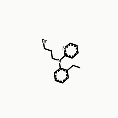 CCc1ccccc1N(CCCBr)c1ccccn1